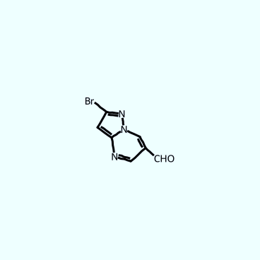 O=Cc1cnc2cc(Br)nn2c1